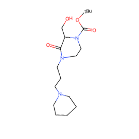 CC(C)(C)OC(=O)N1CCN(CCCN2CCCCC2)C(=O)C1CO